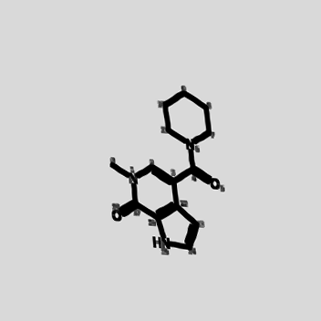 Cn1cc(C(=O)N2CCCCC2)c2cc[nH]c2c1=O